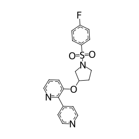 O=S(=O)(c1ccc(F)cc1)N1CCC(Oc2cccnc2-c2ccncc2)C1